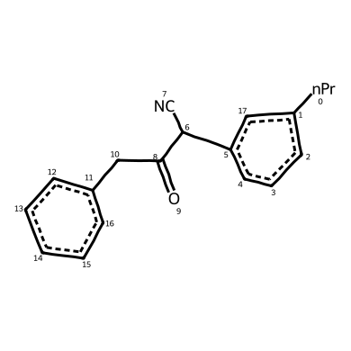 CCCc1cccc(C(C#N)C(=O)Cc2ccccc2)c1